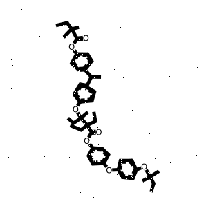 CCC(C)(C)Oc1ccc(Oc2ccc(OC(=O)C(CC)(CC)C(C)(CC)Oc3ccc(C(C)c4ccc(OC(=O)C(C)(C)CC)cc4)cc3)cc2)cc1